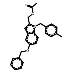 CC(=O)OCc1cc2cc(OCc3ccccc3)ccc2n1Cc1ccc(C)cc1